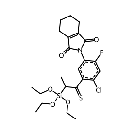 CCO[Si](OCC)(OCC)C(C)C(=S)c1cc(N2C(=O)C3=C(CCCC3)C2=O)c(F)cc1Cl